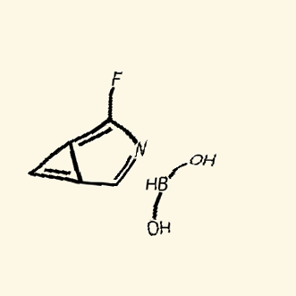 Fc1ncc2cc1-2.OBO